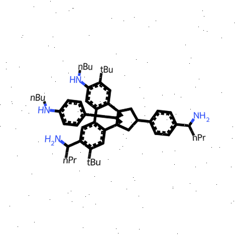 CCCCNc1ccc(C2CC34CC(c5ccc(C(N)CCC)cc5)CC3(C2)c2cc(C(C)(C)C)c(C(N)CCC)cc2-c2cc(NCCCC)c(C(C)(C)C)cc24)cc1